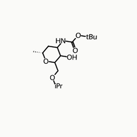 CC(C)OCC1O[C@H](C)CC(NC(=O)OC(C)(C)C)C1O